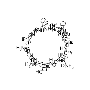 CCCC[C@H]1C(=O)N(C)[C@@H](CCCC)C(=O)N[C@@H](CC(C)C)C(=O)NC(C(=O)NCC(N)=O)CSCC(=O)N[C@@H](Cc2ccc(O)cc2)C(=O)N(C)[C@@H](C)C(=O)N[C@@H](CC(N)=O)C(=O)N2CCC[C@H]2C(=O)N[C@@H](CC(N)=O)C(=O)N[C@@H](CC(C)C)C(=O)N2CCC[C@H]2C(=O)N[C@@H](Cc2csc3ccccc23)C(=O)N[C@@H](CO)C(=O)N[C@@H](Cc2c[nH]c3ccccc23)C(=O)N1C